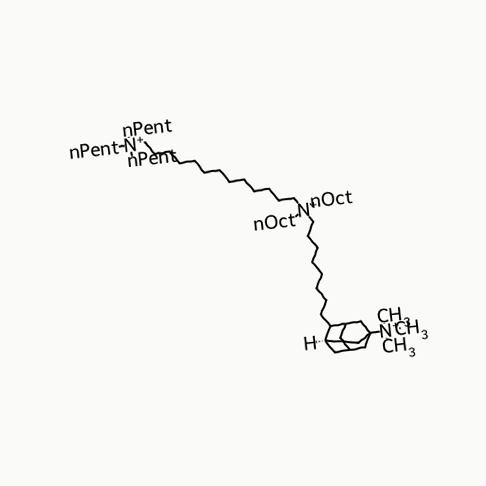 CCCCCCCC[N+](CCCCCCCC)(CCCCCCCCCCCCC[N+](CCCCC)(CCCCC)CCCCC)CCCCCCCCC1C2CC3C[C@@H]1CC([N+](C)(C)C)(C3)C2